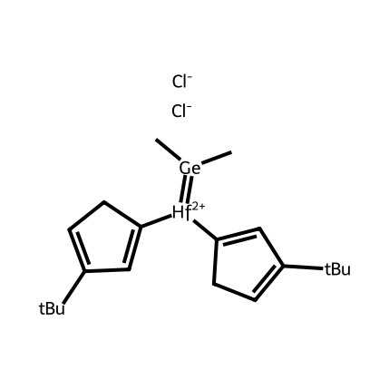 [CH3][Ge]([CH3])=[Hf+2]([C]1=CC(C(C)(C)C)=CC1)[C]1=CC(C(C)(C)C)=CC1.[Cl-].[Cl-]